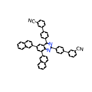 N#Cc1cccc(-c2ccc(-c3nc(-c4ccc(-c5cccc(C#N)c5)cc4)c4cc(-c5ccc6ccccc6c5)cc(-c5ccc6ccccc6c5)c4n3)cc2)c1